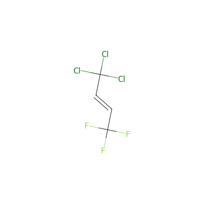 FC(F)(F)C=CC(Cl)(Cl)Cl